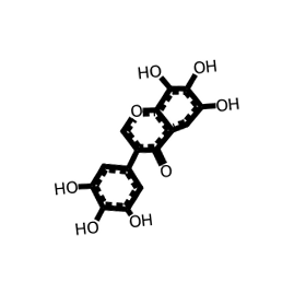 O=c1c(-c2cc(O)c(O)c(O)c2)coc2c(O)c(O)c(O)cc12